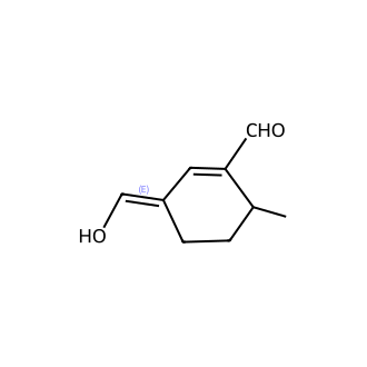 CC1CC/C(=C\O)C=C1C=O